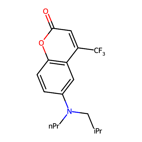 CCCN(CC(C)C)c1ccc2oc(=O)cc(C(F)(F)F)c2c1